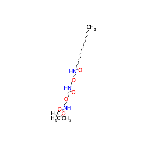 CCCCCCCCCCCCCCCC(=O)NCCOCCNC(=O)CCOCCNC(=O)OC(C)(C)C